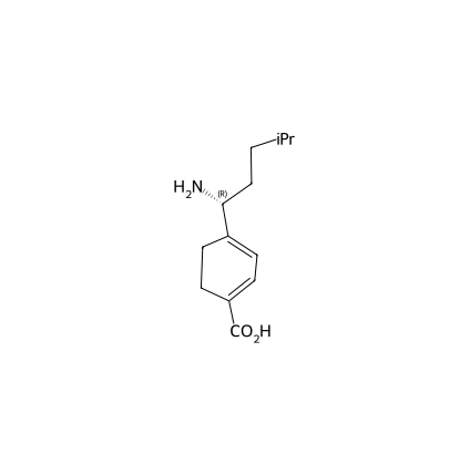 CC(C)CC[C@@H](N)C1=CC=C(C(=O)O)CC1